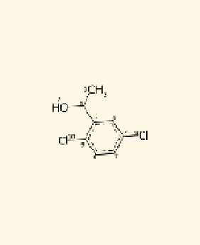 CC(O)c1cc(Cl)ccc1Cl